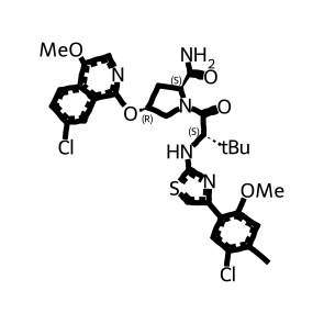 COc1cc(C)c(Cl)cc1-c1csc(N[C@H](C(=O)N2C[C@H](Oc3ncc(OC)c4ccc(Cl)cc34)C[C@H]2C(N)=O)C(C)(C)C)n1